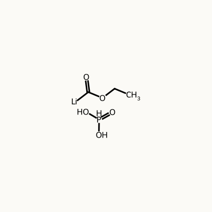 O=[PH](O)O.[Li][C](=O)OCC